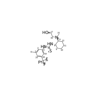 Cc1cc(NC(=S)N[C@H]2CCCC[C@@H]2N(C)CCO)cc(C(F)(F)F)c1